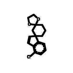 Clc1cccc2c1C=CC21CCCC2(C1)OCCO2